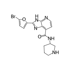 O=C(NC1CCCNC1)c1ccnc2[nH]c(-c3ccc(Br)o3)nc12